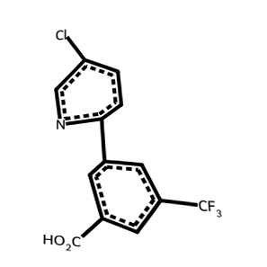 O=C(O)c1cc(-c2ccc(Cl)cn2)cc(C(F)(F)F)c1